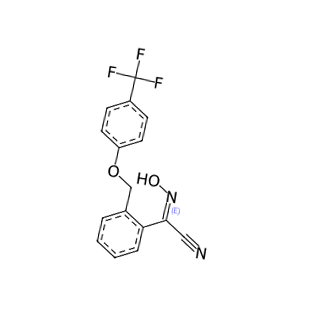 N#C/C(=N/O)c1ccccc1COc1ccc(C(F)(F)F)cc1